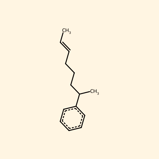 CC=CCCCC(C)c1ccccc1